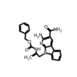 C=C(Cn1c2ccccc2c2cc(C(N)=O)c(N)nc21)NC(=O)OCc1ccccc1